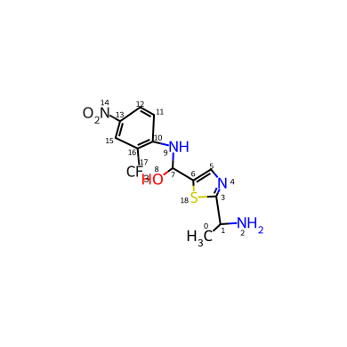 CC(N)c1ncc(C(O)Nc2ccc([N+](=O)[O-])cc2C(F)(F)F)s1